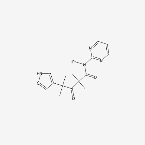 CC(C)N(C(=O)C(C)(C)C(=O)C(C)(C)c1cn[nH]c1)c1ncccn1